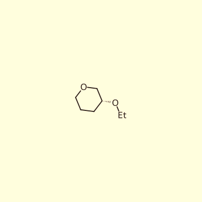 CCO[C@@H]1CCCOC1